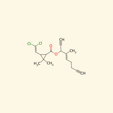 C#CCCC=C(C)C(C#C)OC(=O)C1C(C=C(Cl)Cl)C1(C)C